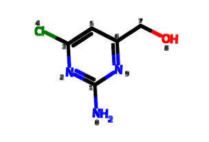 Nc1nc(Cl)cc(CO)n1